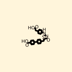 O=C(O)Cc1ccc(NC2=NC(=O)C(=Cc3ccc(-c4ccc(C(=O)O)cc4)cc3)S2)cc1